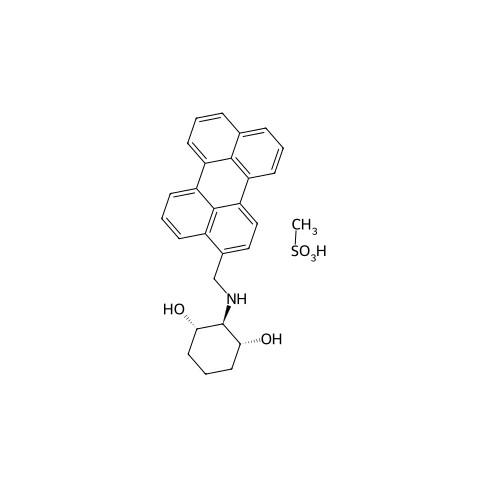 CS(=O)(=O)O.O[C@@H]1CCC[C@H](O)[C@H]1NCc1ccc2c3cccc4cccc(c5cccc1c52)c43